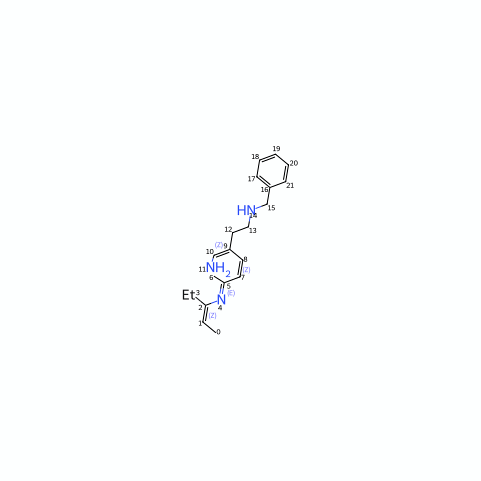 C\C=C(CC)/N=C(C)/C=C\C(=C/N)CCNCc1ccccc1